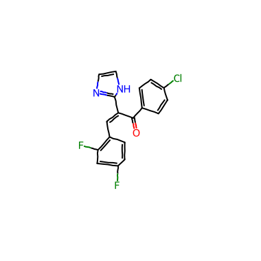 O=C(C(=Cc1ccc(F)cc1F)c1ncc[nH]1)c1ccc(Cl)cc1